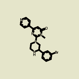 Cn1c(N2CCNC(c3cccc(Br)c3)C2)nc(-c2ccncc2)cc1=O